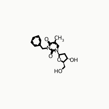 Cc1cn([C@H]2C[C@H](O)[C@@H](CO)O2)c(=O)n(Cc2ccccc2)c1=O